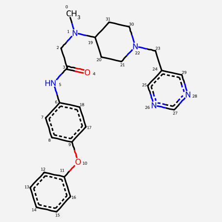 CN(CC(=O)Nc1ccc(Oc2ccccc2)cc1)C1CCN(Cc2cncnc2)CC1